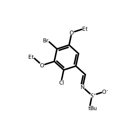 CCOc1cc(/C=N/[S+]([O-])C(C)(C)C)c(Cl)c(OCC)c1Br